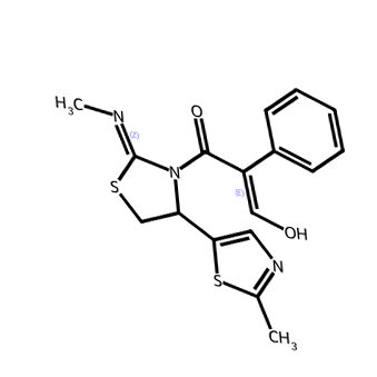 C/N=C1\SCC(c2cnc(C)s2)N1C(=O)/C(=C/O)c1ccccc1